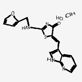 Cl.Cl.O=C1N=C([AsH]Cc2ccco2)S/C1=C\c1c[nH]c2ncccc12